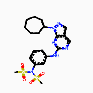 CS(=O)(=O)N(c1cccc(Nc2ncc3cnn(C4CCCCCC4)c3n2)c1)S(C)(=O)=O